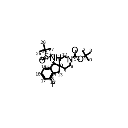 CC(C)(C)OC(=O)N1CCC2(CC1)Cc1c(F)cccc1[C@H]2N[S+]([O-])C(C)(C)C